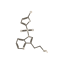 NCCc1cn(S(=O)(=O)c2ccc(Cl)s2)c2cccnc12